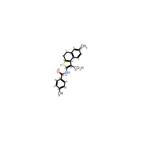 Cc1ccc2c(c1)CCc1sc(NC(=O)c3ccc(C#N)cc3)c(C(=O)O)c1-2